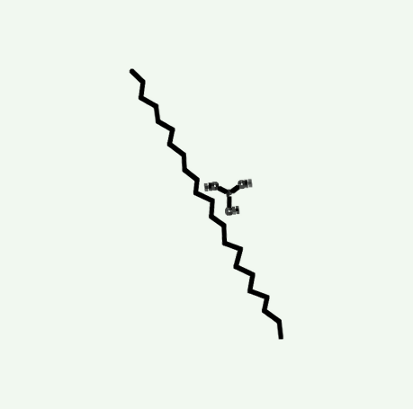 CCCCCCCCCCCCCCCCCCCCCCC.OP(O)O